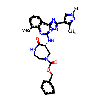 CCn1cc(-c2nc3c4cccc(SC)c4nc(N[C@@H]4CN(C(=O)OCc5ccccc5)CCNC4=O)n3n2)c(C)n1